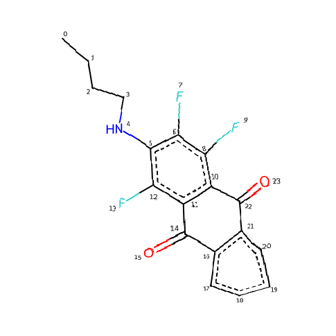 CCCCNc1c(F)c(F)c2c(c1F)C(=O)c1ccccc1C2=O